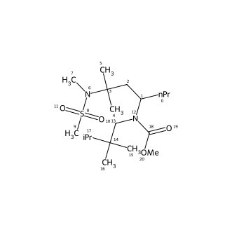 CCCC(CC(C)(C)N(C)S(C)(=O)=O)N(CC(C)(C)C(C)C)C(=O)OC